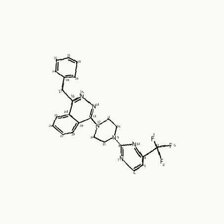 FC(F)(F)c1ccnc(N2CCN(c3nnc(Cc4ccccc4)c4ccccc34)CC2)n1